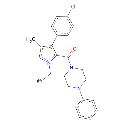 Cc1cn(CC(C)C)c(C(=O)N2CCN(c3ccccc3)CC2)c1-c1ccc(Cl)cc1